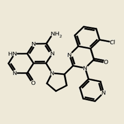 Nc1nc(N2CCCC2c2nc3cccc(Cl)c3c(=O)n2-c2cccnc2)c2c(=O)nc[nH]c2n1